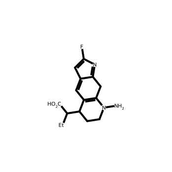 CCC(C(=O)O)C1CCN(N)C2=C1C=C1C=C(F)N=C1C2